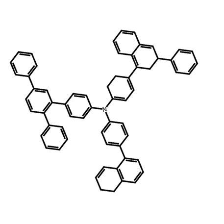 C1=Cc2c(cccc2-c2ccc(N(C3=CC=C(C4=c5ccccc5=CC(c5ccccc5)C4)CC3)c3ccc(-c4cc(-c5ccccc5)ccc4-c4ccccc4)cc3)cc2)CC1